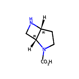 O=C(O)N1CC[C@H]2NC[C@H]21